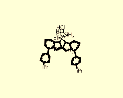 CCC1=Cc2c(-c3ccc(C(C)C)cc3)cccc2[CH]1[Zr](=[SiH2])([CH2]C)([CH2]C)[CH]1C(C)=Cc2c(-c3ccc(C(C)C)cc3)cccc21.Cl.Cl